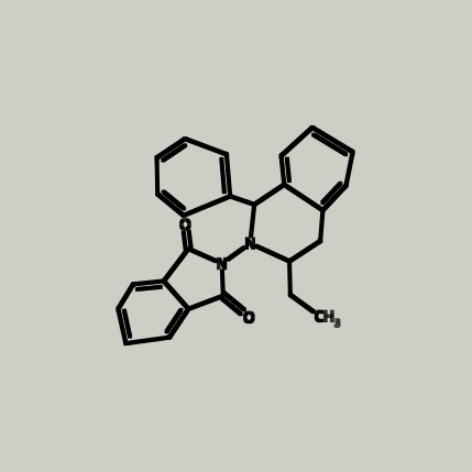 CCC1Cc2ccccc2C(c2ccccc2)N1N1C(=O)c2ccccc2C1=O